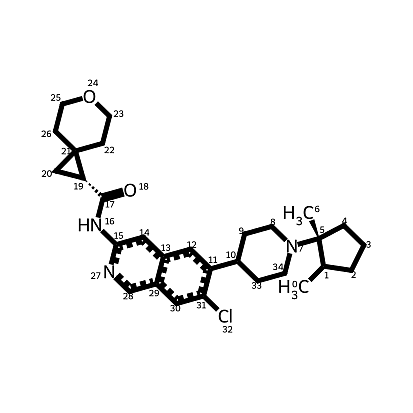 CC1CCC[C@@]1(C)N1CCC(c2cc3cc(NC(=O)[C@@H]4CC45CCOCC5)ncc3cc2Cl)CC1